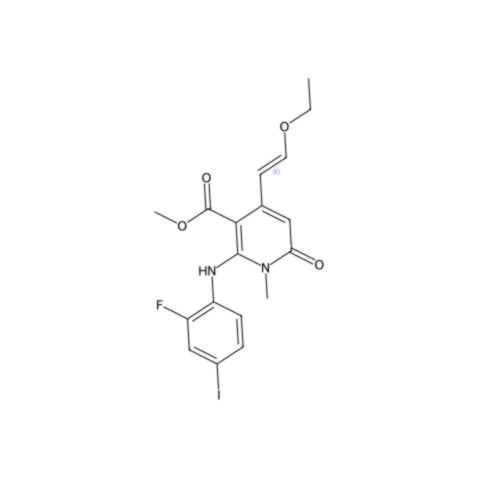 CCO/C=C/c1cc(=O)n(C)c(Nc2ccc(I)cc2F)c1C(=O)OC